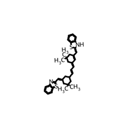 CC1(C)CC(/C=C2/Nc3ccccc3S2)=CC(=C/C=C/C2C/C(=C/c3nc4ccccc4s3)CC(C)(C)C2)/C1